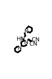 N#CC(C#N)=CN1CCC(N2CCCCC2)CC1NCCN1CCCCC1